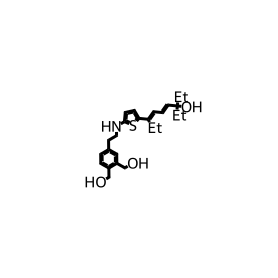 CCC(=CC=CC(O)(CC)CC)c1ccc(NCCc2ccc(CO)c(CO)c2)s1